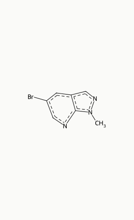 Cn1ncc2cc(Br)cnc21